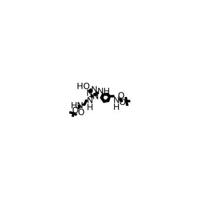 CC(C)(C)OC(=O)NCCNc1nc(O)nc(Nc2cccc(CNC(=O)OC(C)(C)C)c2)n1